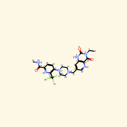 CCn1c(=O)[nH]c2cc(CN3CCN(c4ccc(C(=O)NC)nc4C(F)(F)F)CC3)cnc2c1=O